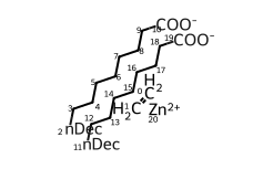 C=C.CCCCCCCCCCCCCCCCCC(=O)[O-].CCCCCCCCCCCCCCCCCC(=O)[O-].[Zn+2]